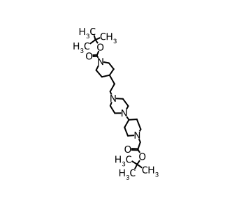 CC(C)(C)OC(=O)CN1CCC(N2CCN(CCC3CCN(C(=O)OC(C)(C)C)CC3)CC2)CC1